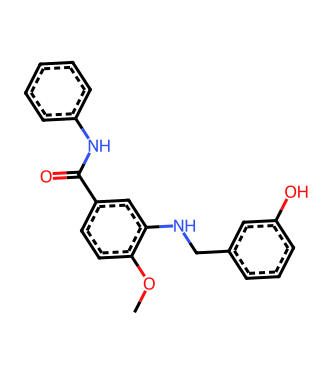 COc1ccc(C(=O)Nc2ccccc2)cc1NCc1cccc(O)c1